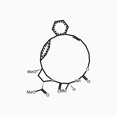 COC(=O)[C@@H]1C[C@]2(OC)CN1C(=O)[C@H](C(C)(C)C)NC(=O)OCCCC=Cc1ccccc1-c1ccc2cc1